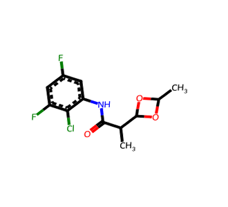 CC1OC(C(C)C(=O)Nc2cc(F)cc(F)c2Cl)O1